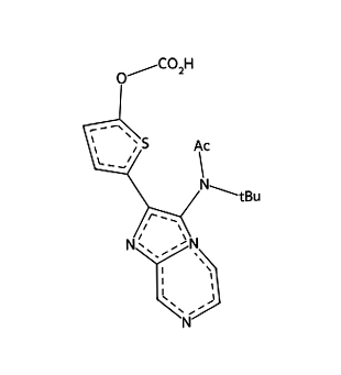 CC(=O)N(c1c(-c2ccc(OC(=O)O)s2)nc2cnccn12)C(C)(C)C